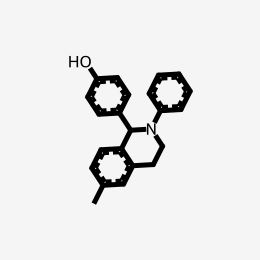 Cc1ccc2c(c1)CCN(c1ccccc1)C2c1ccc(O)cc1